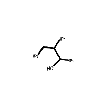 CC(C)CC(C(C)C)C(O)C(C)C